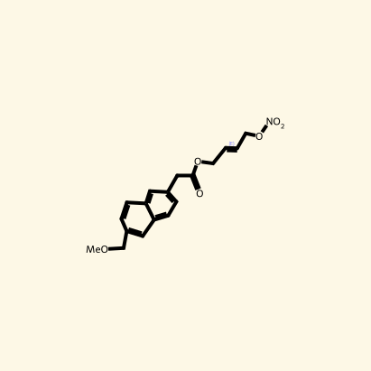 COCc1ccc2cc(CC(=O)OC/C=C/CO[N+](=O)[O-])ccc2c1